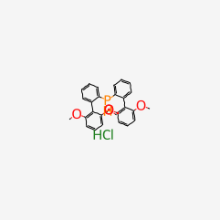 COc1cccc(OC)c1-c1ccccc1Pc1ccccc1-c1c(OC)cccc1OC.Cl